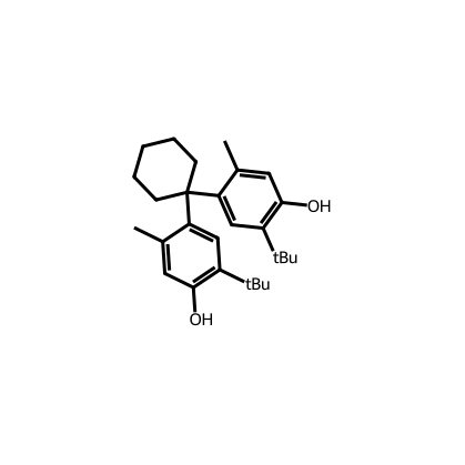 Cc1cc(O)c(C(C)(C)C)cc1C1(c2cc(C(C)(C)C)c(O)cc2C)CCCCC1